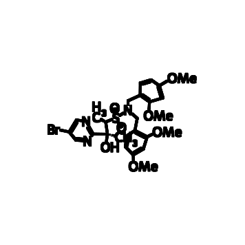 COc1ccc(CN(Cc2ccc(OC)cc2OC)S(=O)(=O)[C@H](C)[C@@](C)(O)c2ncc(Br)cn2)c(OC)c1